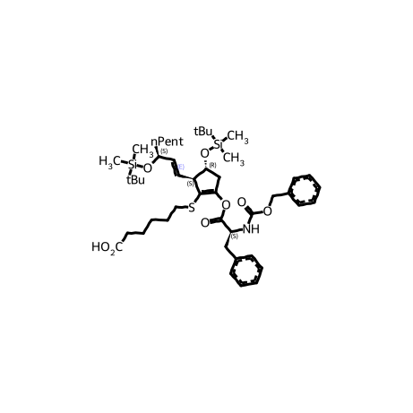 CCCCC[C@@H](/C=C/[C@@H]1C(SCCCCCC(=O)O)=C(OC(=O)[C@H](Cc2ccccc2)NC(=O)OCc2ccccc2)C[C@H]1O[Si](C)(C)C(C)(C)C)O[Si](C)(C)C(C)(C)C